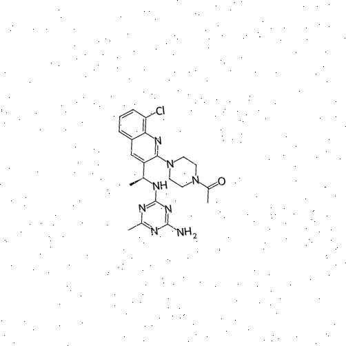 CC(=O)N1CCN(c2nc3c(Cl)cccc3cc2[C@H](C)Nc2nc(C)nc(N)n2)CC1